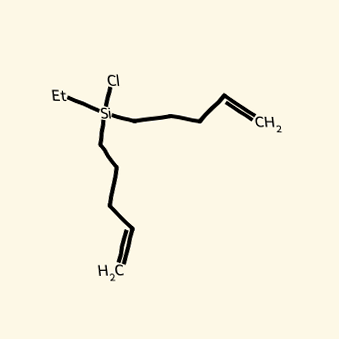 C=CCCC[Si](Cl)(CC)CCCC=C